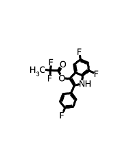 CC(F)(F)C(=O)Oc1c(-c2ccc(F)cc2)[nH]c2c(F)cc(F)cc12